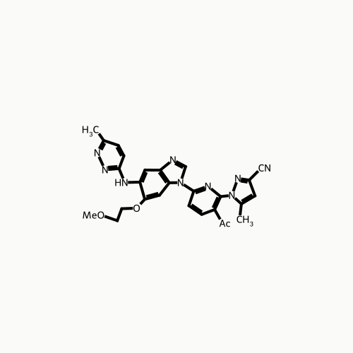 COCCOc1cc2c(cc1Nc1ccc(C)nn1)ncn2-c1ccc(C(C)=O)c(-n2nc(C#N)cc2C)n1